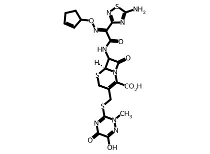 Cn1nc(O)c(=O)nc1SCC1=C(C(=O)O)N2C(=O)C(NC(=O)C(=NOC3C=CCC3)c3nsc(N)n3)[C@@H]2SC1